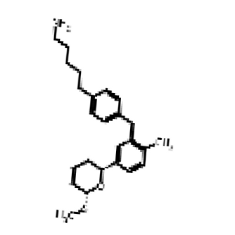 CS[C@@H]1[CH][CH][CH][C@@H](c2ccc(C)c(Cc3ccc(CCCCCN)cc3)c2)O1